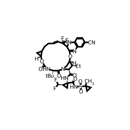 CC[C@@H]1[C@@H]2CN(C(=O)[C@H](C(C)(C)C)NC(=O)O[C@@H]3CC3CC/C=C/C(F)(F)C3Nc4ccc(C#N)cc4N=C3O2)[C@@H]1C(=O)N[C@]1(C(=O)NS(=O)(=O)C2(C)CC2)C[C@H]1C(F)F